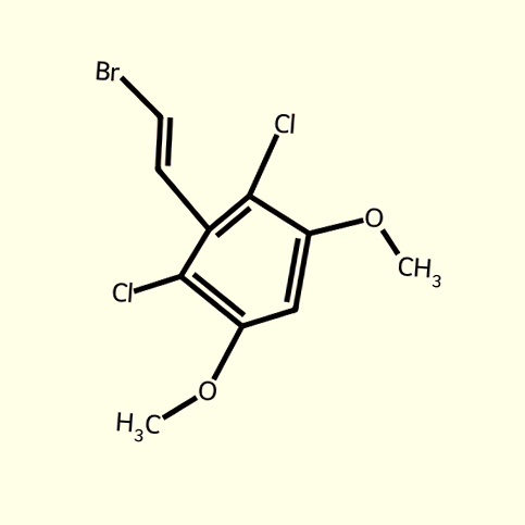 COc1cc(OC)c(Cl)c(/C=C/Br)c1Cl